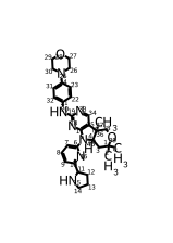 CC1(C)C[C@@H]2N(c3cccc(C4CCCN4)n3)c3nc(Nc4ccc(N5CCOCC5)cc4)ncc3[C@]2(C)CO1